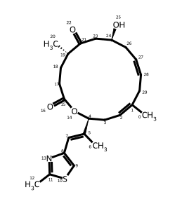 C/C1=C/C[C@@H](/C(C)=C/c2csc(C)n2)OC(=O)CC[C@H](C)C(=O)C[C@@H](O)C/C=C\C1